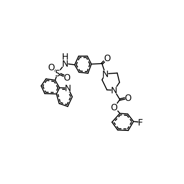 O=C(Oc1cccc(F)c1)N1CCN(C(=O)c2ccc(NS(=O)(=O)c3cccc4cccnc34)cc2)CC1